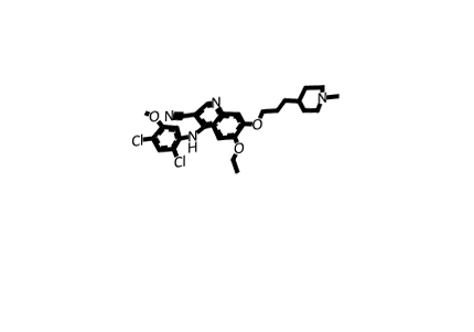 CCOc1cc2c(Nc3cc(OC)c(Cl)cc3Cl)c(C#N)cnc2cc1OCCCC1CCN(C)CC1